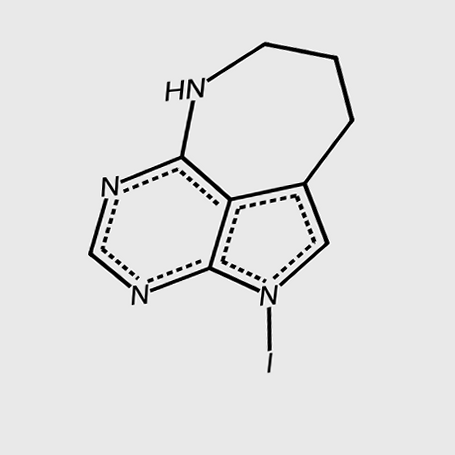 In1cc2c3c(ncnc31)NCCC2